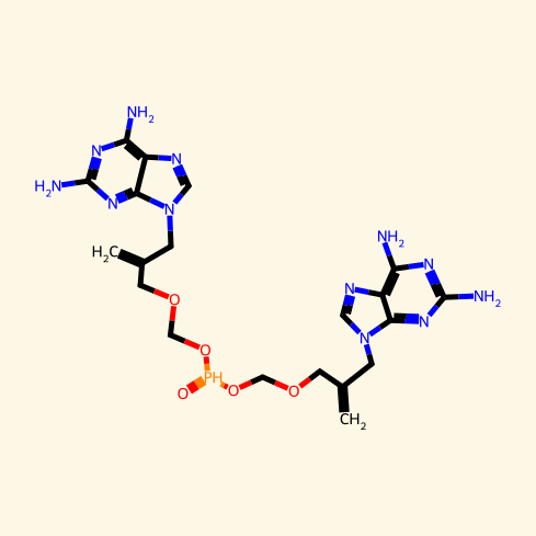 C=C(COCO[PH](=O)OCOCC(=C)Cn1cnc2c(N)nc(N)nc21)Cn1cnc2c(N)nc(N)nc21